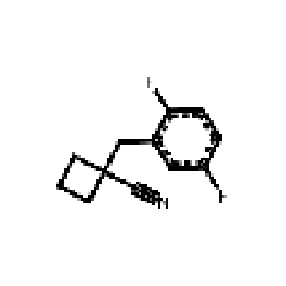 N#CC1(Cc2cc(F)ccc2F)CCC1